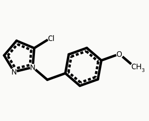 COc1ccc(Cn2nccc2Cl)cc1